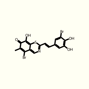 Cc1c(Br)c2cnc(/C=C/c3cc(O)c(O)c(Br)c3)sc-2c(O)c1=O